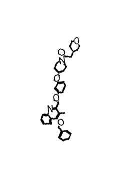 Cc1c(COc2cccc(OC3CCN(C(=O)CC4CCOCC4)CC3)c2)nc2ccccc2c1OCc1ccccc1